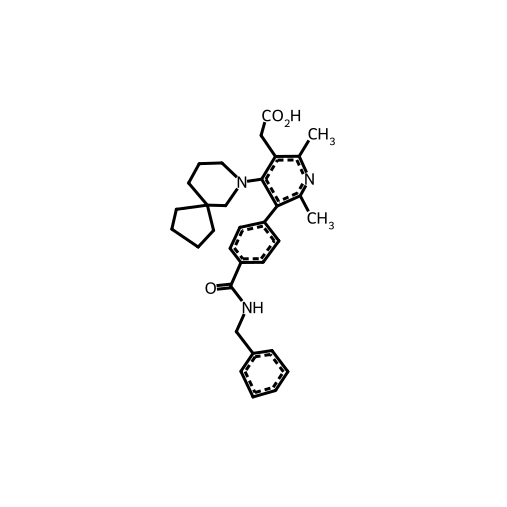 Cc1nc(C)c(-c2ccc(C(=O)NCc3ccccc3)cc2)c(N2CCCC3(CCCC3)C2)c1CC(=O)O